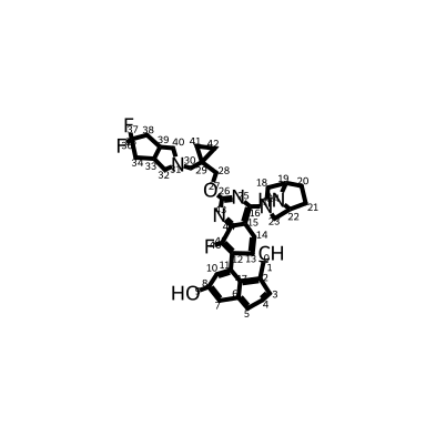 C#Cc1cccc2cc(O)cc(-c3ccc4c(N5CC6CCC(C5)N6)nc(OCC5(CN6CC7CC(F)(F)CC7C6)CC5)nc4c3F)c12